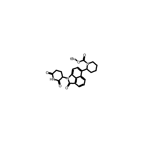 CC(C)(C)OC(=O)N1CCCCC1c1ccc2c3c(cccc13)C(=O)N2C1CCC(=O)NC1=O